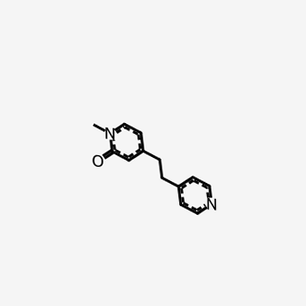 Cn1ccc(CCc2ccncc2)cc1=O